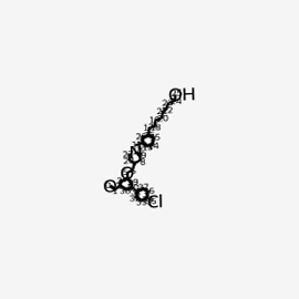 O=Cc1cc(OCC2CCN(Cc3cccc(CCCCCCCCO)c3)CC2)cc(-c2ccc(Cl)cc2)c1